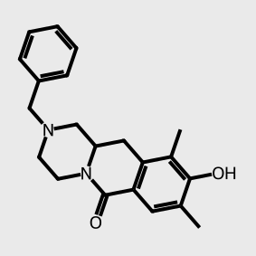 Cc1cc2c(c(C)c1O)CC1CN(Cc3ccccc3)CCN1C2=O